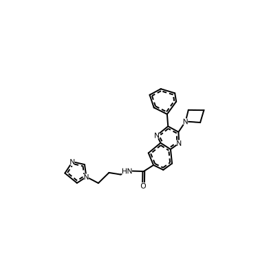 O=C(NCCCn1ccnc1)c1ccc2nc(N3CCC3)c(-c3ccccc3)nc2c1